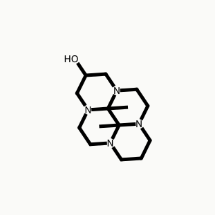 CC12N3CCCN1CCN1CC(O)CN(CC3)C12C